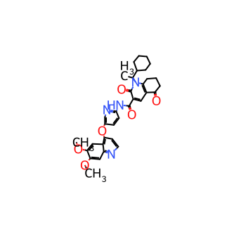 COc1cc2nccc(Oc3ccc(NC(=O)c4cc5c(n(C(C)C6CCCCC6)c4=O)CCCC5=O)nc3)c2cc1OC